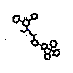 C=C/C(=C\C=C(/C)c1cccc(-c2ccc3c(c2)-c2ccccc2C3(c2ccccc2)c2ccccc2)c1)c1cc(-c2ccccc2)nc(-c2ccccc2)c1